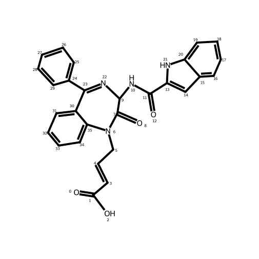 O=C(O)/C=C/CN1C(=O)C(NC(=O)c2cc3ccccc3[nH]2)N=C(c2ccccc2)c2ccccc21